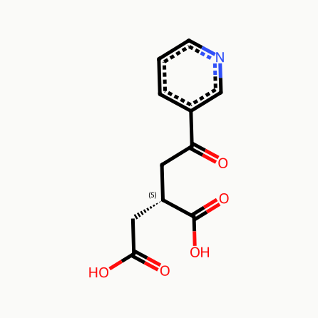 O=C(O)C[C@H](CC(=O)c1cccnc1)C(=O)O